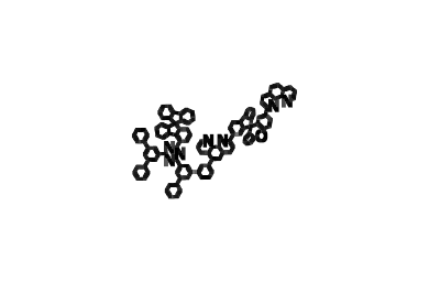 c1ccc(-c2cc(-c3ccccc3)cc(-c3nc(-c4cc(-c5ccccc5)cc(-c5cccc(-c6cc7ccc(-c8ccc9c(c8)C8(c%10ccccc%10Oc%10ccc(-c%11ccc%12ccc%13cccnc%13c%12n%11)cc%108)c8ccccc8-9)nc7c7ncccc67)c5)c4)nc(-c4cccc5c4-c4ccccc4C54c5ccccc5-c5ccccc54)n3)c2)cc1